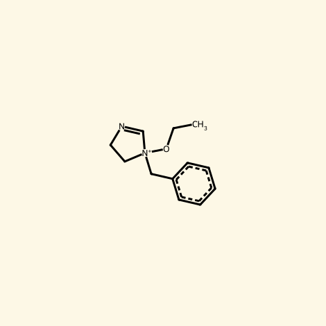 CCO[N+]1(Cc2ccccc2)C=NCC1